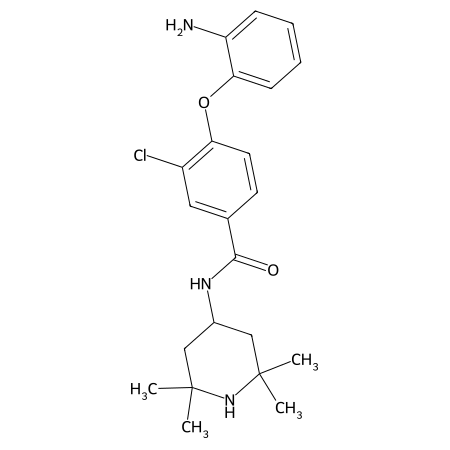 CC1(C)CC(NC(=O)c2ccc(Oc3ccccc3N)c(Cl)c2)CC(C)(C)N1